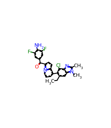 CCc1cc2c(nc(C)n2C)c(Cl)c1-c1cccn2c(C(=O)c3cc(F)c(N)c(F)c3)ccc12